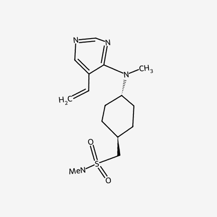 C=Cc1cncnc1N(C)[C@H]1CC[C@H](CS(=O)(=O)NC)CC1